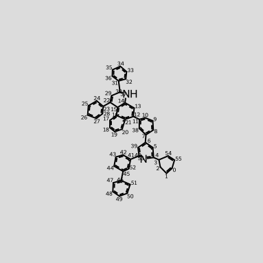 C1=CCC(c2cc(-c3cccc(-c4cc5c(c6ccccc46)C(c4ccccc4)=CC(c4ccccc4)N5)c3)cc(-c3cccc(-c4ccccc4)c3)n2)C=C1